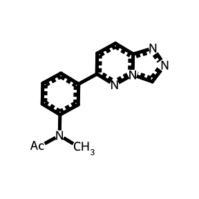 CC(=O)N(C)c1cccc(-c2ccc3nncn3n2)c1